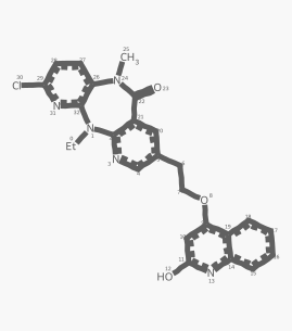 CCN1c2ncc(CCOc3cc(O)nc4ccccc34)cc2C(=O)N(C)c2ccc(Cl)nc21